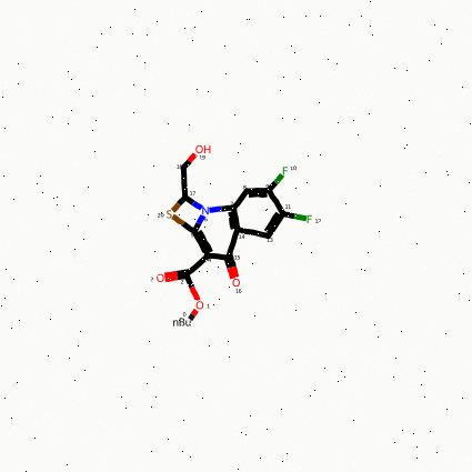 CCCCOC(=O)c1c2n(c3cc(F)c(F)cc3c1=O)C(CO)S2